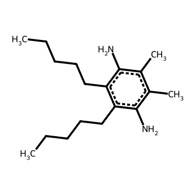 CCCCCc1c(N)c(C)c(C)c(N)c1CCCCC